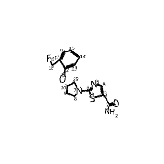 NC(=O)c1cnc(N2CC[C@H](Oc3ccccc3CF)C2)s1